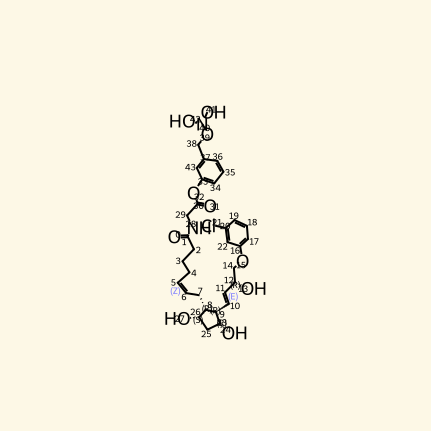 O=C(CCC/C=C\C[C@@H]1[C@@H](/C=C/[C@@H](O)COc2cccc(Cl)c2)[C@H](O)C[C@@H]1O)NCC(=O)Oc1cccc(CON(O)O)c1